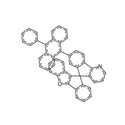 c1ccc(-c2c3ccccc3c(-c3ccc4c(c3)C3(c5ccccc5-c5oc6ccccc6c53)c3cccnc3-4)c3ccccc23)cc1